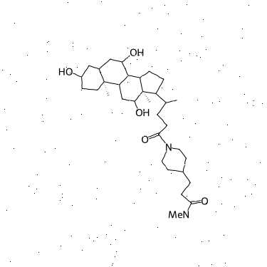 CNC(=O)CCC1CCN(C(=O)CCC(C)C2CCC3C4C(O)CC5CC(O)CC[C@]5(C)C4CC(O)[C@]23C)CC1